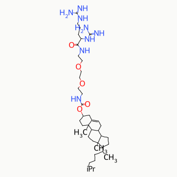 CC(C)CCCC(C)C1CCC2C3CC=C4CC(OC(=O)NCCOCCOCCNC(=O)C(CCCNC(=N)N)NC(=N)N)CCC4(C)C3CCC12C